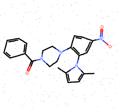 Cc1ccc(C)n1-c1cc([N+](=O)[O-])ccc1N1CCN(C(=O)c2ccccc2)CC1